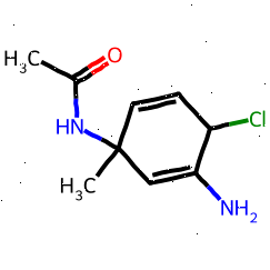 CC(=O)NC1(C)C=CC(Cl)C(N)=C1